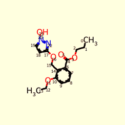 CCCOC(=O)c1cccc(OCC)c1COc1ccn(O)n1